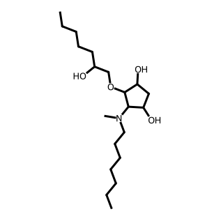 CCCCCCCN(C)C1C(O)CC(O)C1OCC(O)CCCCC